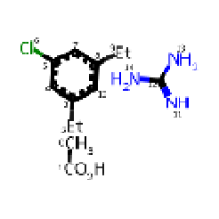 CC(=O)O.CCc1cc(Cl)cc(CC)c1.N=C(N)N